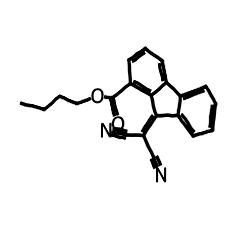 CCCCOC(=O)c1cccc2c1C(=C(C#N)C#N)c1ccccc1-2